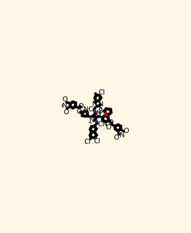 CB(c1ccccc1)n1c(-c2ccc(OC(=O)c3ccc4c(c3)C(=O)N(C)C4=O)cc2)c2/c(=C(\C#N)c3ccc4cc(Cl)c(Cl)cc4c3)n(C)c(-c3ccc(OC(=O)c4ccc5c(c4)C(=O)N(C)C5=O)cc3)c2/c1=C(\C#N)c1cnc2cc(Cl)c(C)cc2n1